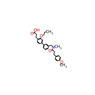 CCCOc1cc(-c2cccc(CN(C)C(=O)CCc3ccc(OC)cc3)c2)ccc1CCC(=O)O